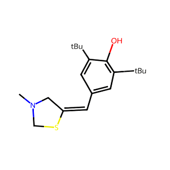 CN1CSC(=Cc2cc(C(C)(C)C)c(O)c(C(C)(C)C)c2)C1